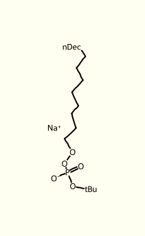 CCCCCCCCCCCCCCCCCCOOP(=O)([O-])OC(C)(C)C.[Na+]